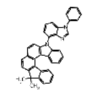 CC1(C)c2ccccc2-c2c1ccc1ccc3c(c4ccccc4n3-c3cccc4c3ncn4-c3ccccc3)c21